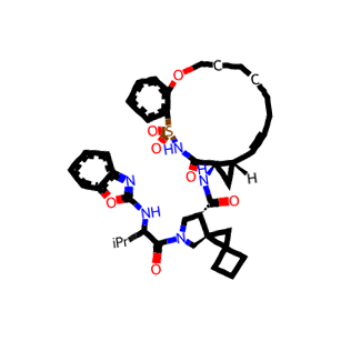 CC(C)C(Nc1nc2ccccc2o1)C(=O)N1C[C@H](C(=O)N[C@]23C[C@H]2/C=C\CCCCCCOc2ccccc2S(=O)(=O)NC3=O)[C@]2(C1)CC21CCC1